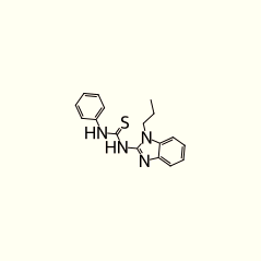 CCCn1c(NC(=S)Nc2ccccc2)nc2ccccc21